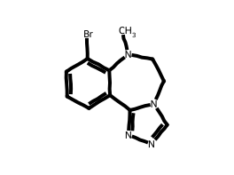 CN1CCn2cnnc2-c2cccc(Br)c21